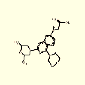 C=C(C)CNc1ccc2c(N3CCOCC3)nc(N3CC(C)OC(C)C3)nc2n1